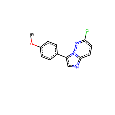 CC(C)Oc1ccc(-c2cnc3ccc(Cl)nn23)cc1